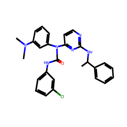 CC(Nc1nccc(N(C(=O)Nc2cccc(Cl)c2)c2cccc(N(C)C)c2)n1)c1ccccc1